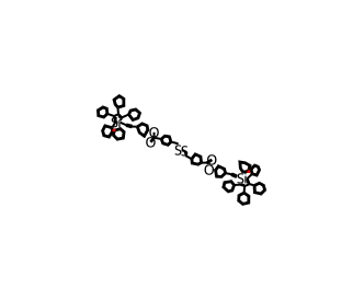 O=C(Oc1ccc(C#C[Si]2(c3ccccc3)C(c3ccccc3)=C(c3ccccc3)C(c3ccccc3)=C2c2ccccc2)cc1)c1ccc(CSSCc2ccc(C(=O)Oc3ccc(C#C[Si]4(c5ccccc5)C(c5ccccc5)=C(c5ccccc5)C(c5ccccc5)=C4c4ccccc4)cc3)cc2)cc1